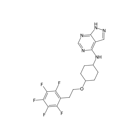 Fc1c(F)c(F)c(CCOC2CCC(Nc3ncnc4[nH]ncc34)CC2)c(F)c1F